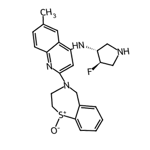 Cc1ccc2nc(N3CC[S+]([O-])c4ccccc4C3)cc(N[C@@H]3CNC[C@H]3F)c2c1